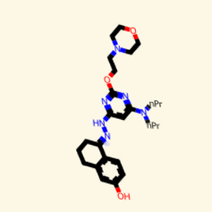 CCCN(CCC)c1cc(N/N=C2\CCCc3cc(O)ccc32)nc(OCCN2CCOCC2)n1